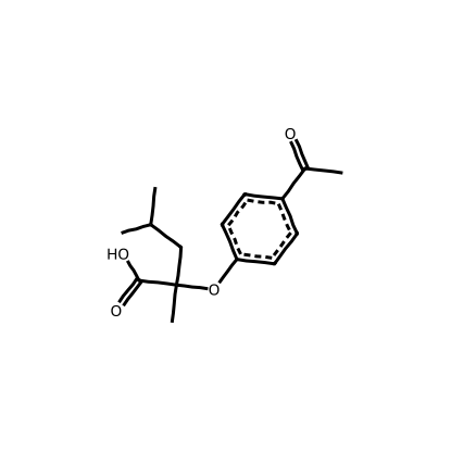 CC(=O)c1ccc(OC(C)(CC(C)C)C(=O)O)cc1